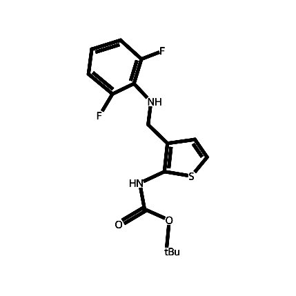 CC(C)(C)OC(=O)Nc1sccc1CNc1c(F)cccc1F